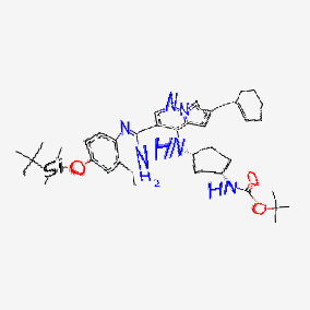 CCc1cc(O[Si](C)(C)C(C)(C)C)ccc1/N=C(\N)c1cnn2cc(C3=CCCCC3)cc2c1N[C@@H]1CC[C@H](NC(=O)OC(C)(C)C)C1